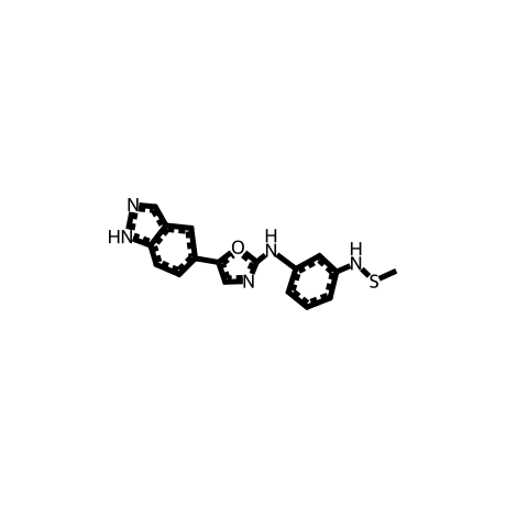 CSNc1cccc(Nc2ncc(-c3ccc4[nH]ncc4c3)o2)c1